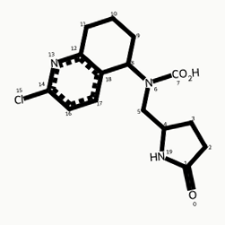 O=C1CCC(CN(C(=O)O)C2CCCc3nc(Cl)ccc32)N1